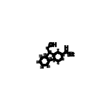 CCNc1ccc2c(c1)C(CO)c1ccccc1-2